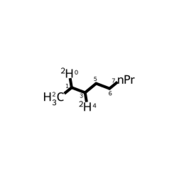 [2H]C(C)C([2H])CCCCC